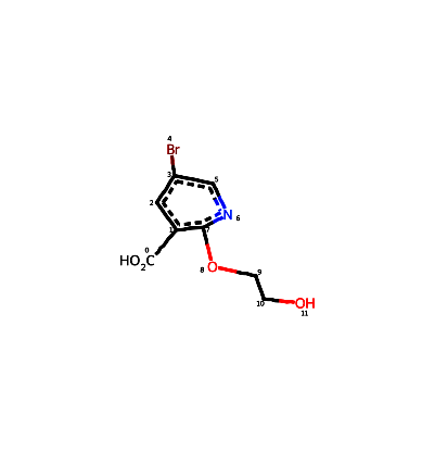 O=C(O)c1cc(Br)cnc1OCCO